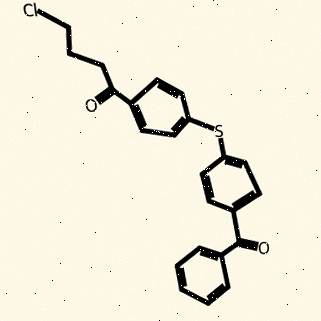 O=C(CCCCl)c1ccc(Sc2ccc(C(=O)c3ccccc3)cc2)cc1